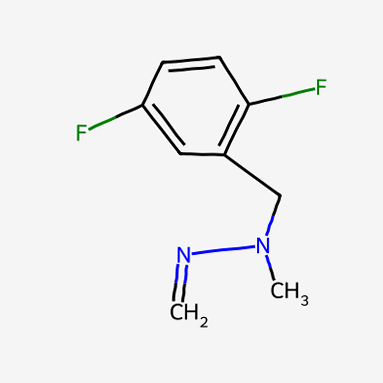 C=NN(C)Cc1cc(F)ccc1F